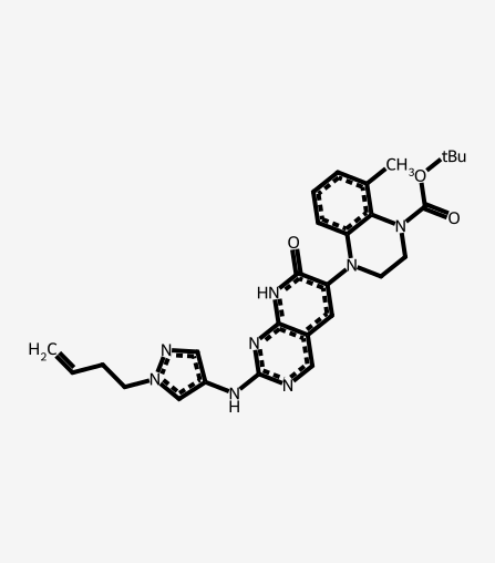 C=CCCn1cc(Nc2ncc3cc(N4CCN(C(=O)OC(C)(C)C)c5c(C)cccc54)c(=O)[nH]c3n2)cn1